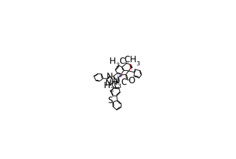 C=C/C=C\C1=C(C)Oc2ccccc2C12c1ccccc1C(C)(C)c1ccc(-c3nc(-c4ccccc4)nc(-c4ccc5c(c4)sc4ccccc45)n3)cc12